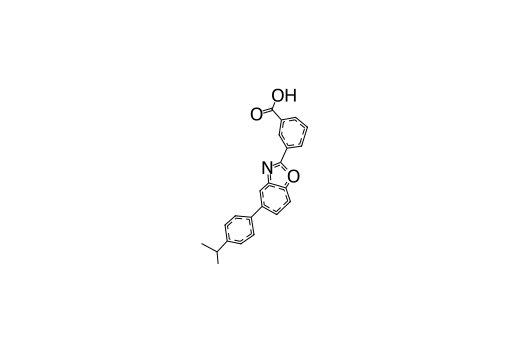 CC(C)c1ccc(-c2ccc3oc(-c4cccc(C(=O)O)c4)nc3c2)cc1